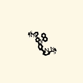 c1cc(-c2ccc3c4ccc(-c5cccc(-c6nccs6)n5)cc4n(-c4cccc5ccccc45)c3c2)nc(-c2nccs2)c1